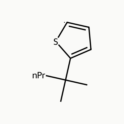 CCCC(C)(C)c1cc[c]s1